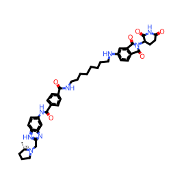 C[C@H]1CCCN1Cc1nc2cc(NC(=O)c3ccc(C(=O)NCCCCCCCCNc4ccc5c(c4)C(=O)N(C4CCC(=O)NC4=O)C5=O)cc3)ccc2[nH]1